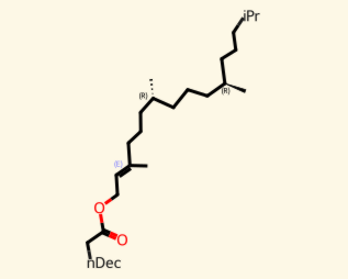 CCCCCCCCCCCC(=O)OC/C=C(\C)CCC[C@H](C)CCC[C@H](C)CCCC(C)C